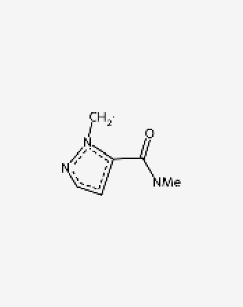 [CH2]n1nccc1C(=O)NC